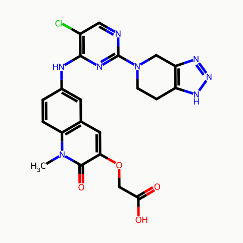 Cn1c(=O)c(OCC(=O)O)cc2cc(Nc3nc(N4CCc5[nH]nnc5C4)ncc3Cl)ccc21